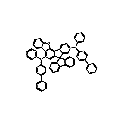 c1ccc(-c2ccc(N(c3ccccc3)c3ccc4c(c3)C3(c5ccccc5-c5ccccc53)c3cc(N(c5ccccc5)c5ccc(-c6ccccc6)cc5)c5c(oc6ccccc65)c3-4)cc2)cc1